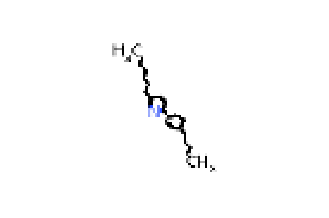 CCCCCCCc1ccc(-c2ccc(CCCCC)cc2)nc1